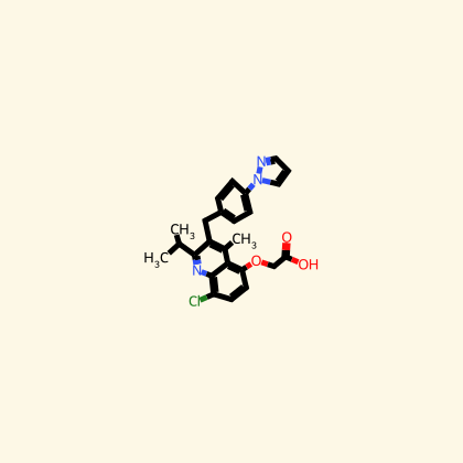 Cc1c(Cc2ccc(-n3cccn3)cc2)c(C(C)C)nc2c(Cl)ccc(OCC(=O)O)c12